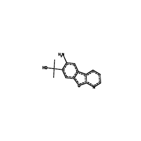 CC(C)(O)c1cc2oc3ncccc3c2cc1N